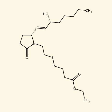 CCCCC[C@@H](O)/C=C/[C@H]1CCC(=O)N1CCSCCCC(=O)OCC